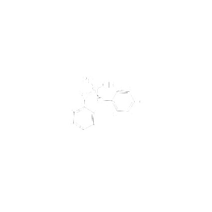 C[Si](Br)(Oc1ccccc1)Oc1ccccc1